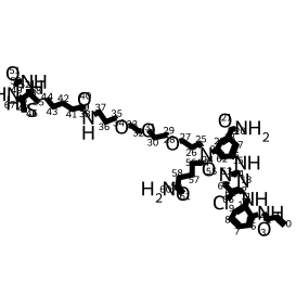 C=CC(=O)Nc1ccccc1Nc1nc(Nc2cc(C(N)=O)cc(N(CCCOCCOCCOCCCNC(=O)CCCC[C@@H]3SC[C@@H]4NC(=O)N[C@@H]43)C(=O)CCCC(N)=O)c2)ncc1Cl